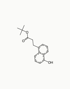 CC(C)(C)OC(=O)CCc1cccc2c(O)cccc12